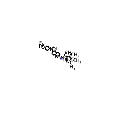 CO[C@@H]1[C@@H](OC)[C@H](C)O[C@@H](O/N=C/c2ccc3c(ccc4c3ncn4-c3ccc(OC(F)(F)F)cc3)n2)[C@@H]1OC